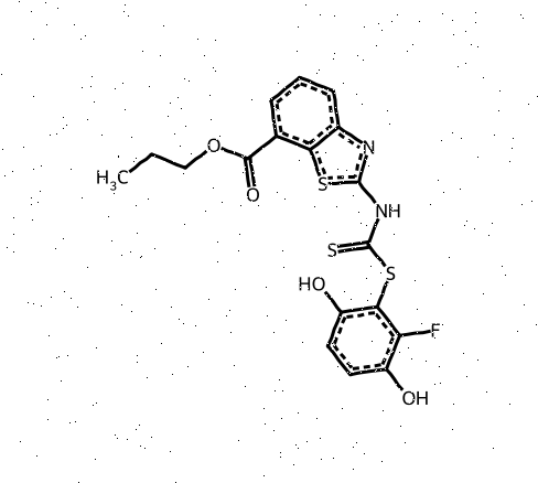 CCCOC(=O)c1cccc2nc(NC(=S)Sc3c(O)ccc(O)c3F)sc12